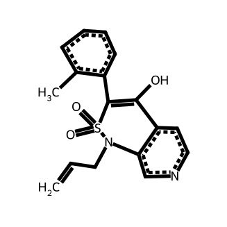 C=CCN1c2cnccc2C(O)=C(c2ccccc2C)S1(=O)=O